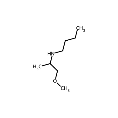 CCCCNC(C)COC